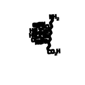 CC[N+](CC)(C(P(=O)(O)O)P(=O)(O)O)C(P(=O)(O)O)P(=O)(O)O.NCCCCCCCCCCC(=O)O